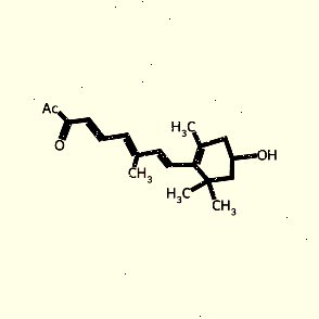 CC(=O)C(=O)/C=C/C=C(C)/C=C/C1=C(C)CC(O)CC1(C)C